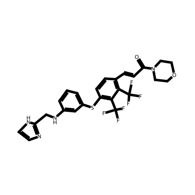 O=C(C=Cc1ccc(Sc2cccc(NCc3ncc[nH]3)c2)c(C(F)(F)F)c1C(F)(F)F)N1CCOCC1